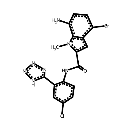 Cn1c(C(=O)Nc2ccc(Cl)cc2-c2nnn[nH]2)cc2c(Br)ccc(N)c21